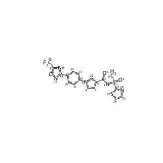 CS(=O)(=NC(=O)c1ccn(-c2ccc(-c3noc(C(F)(F)F)n3)cc2)c1)c1nccs1